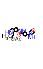 CC(=O)OC(C)CC1NCCc2ccc(NC(=O)c3ccc(C(=N)N4CCOCC4)cc3)cc21